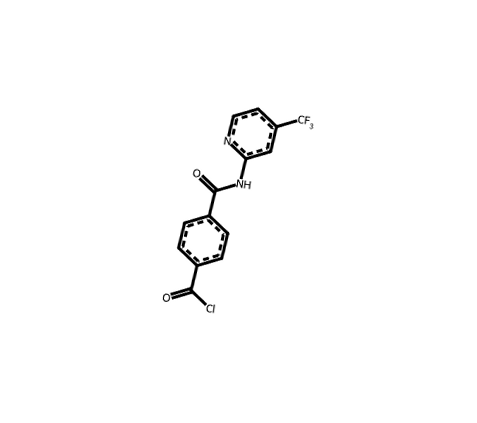 O=C(Cl)c1ccc(C(=O)Nc2cc(C(F)(F)F)ccn2)cc1